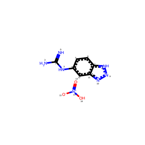 N=C(N)Nc1ccc2[nH]nnc2c1.O=[N+]([O-])O